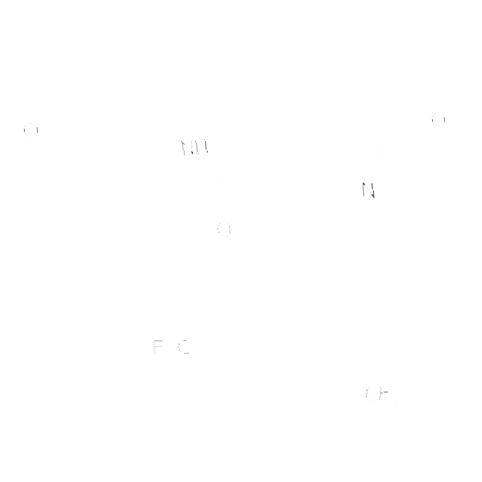 CN1C(=O)c2ccccc2C(C(=O)NCC2CCCO2)C1c1cc(C(F)(F)F)cc(C(F)(F)F)c1